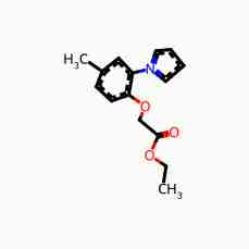 CCOC(=O)COc1ccc(C)cc1-n1cccc1